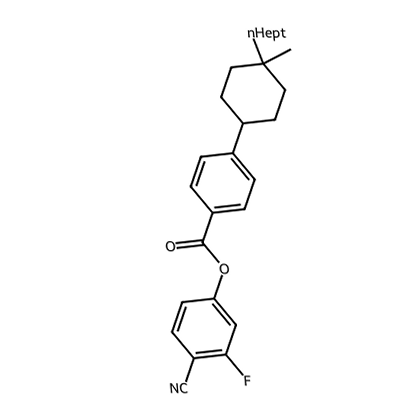 CCCCCCCC1(C)CCC(c2ccc(C(=O)Oc3ccc(C#N)c(F)c3)cc2)CC1